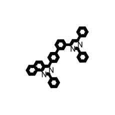 c1ccc(-c2cc(-c3cccc(-c4ccc(-c5nc(-c6ccccc6)nc6c5ccc5ccccc56)cc4)c3)nc(-c3ccccc3)n2)cc1